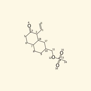 C=CC1C(=O)CCC2CCC(COS(C)(=O)=O)CC21